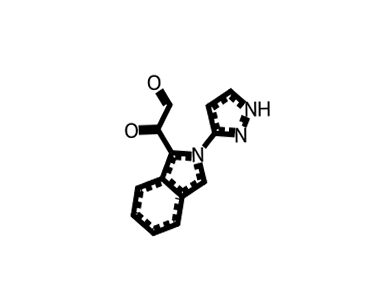 O=CC(=O)c1c2ccccc2cn1-c1cc[nH]n1